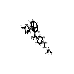 Cc1ncn(C23CC4CC(CC(C(=O)N5CCN(CCOC(C)C)CC5)(C4)C2)C3)n1